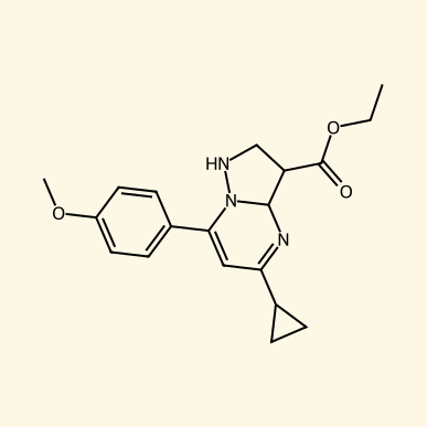 CCOC(=O)C1CNN2C(c3ccc(OC)cc3)=CC(C3CC3)=NC12